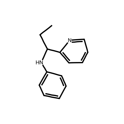 CCC(Nc1ccccc1)c1ccccn1